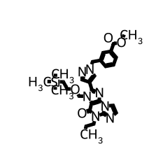 CCCn1c(=O)c2c(nc(-c3cnn(Cc4cccc(C(=O)OC)c4)c3)n2COCC[Si](C)(C)C)n2ccnc12